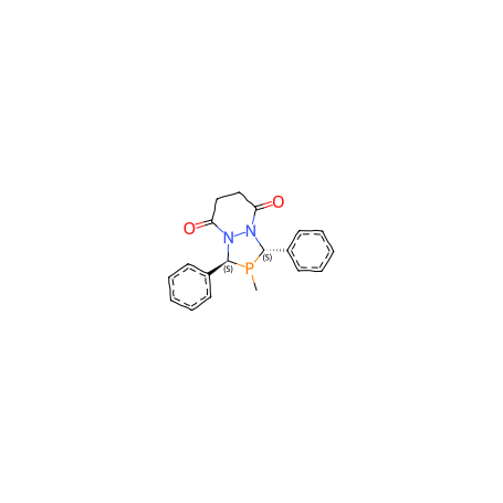 CP1[C@@H](c2ccccc2)N2C(=O)CCC(=O)N2[C@@H]1c1ccccc1